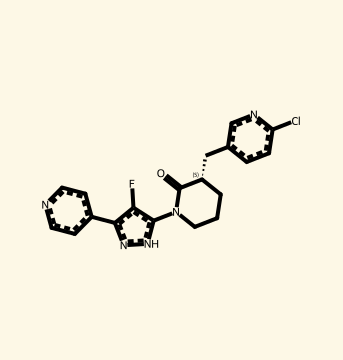 O=C1[C@H](Cc2ccc(Cl)nc2)CCCN1c1[nH]nc(-c2ccncc2)c1F